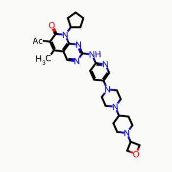 CC(=O)c1c(C)c2cnc(Nc3ccc(N4CCN(C5CCN(C6COC6)CC5)CC4)cn3)nc2n(C2CCCC2)c1=O